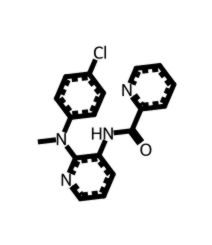 CN(c1ccc(Cl)cc1)c1ncccc1NC(=O)c1ccccn1